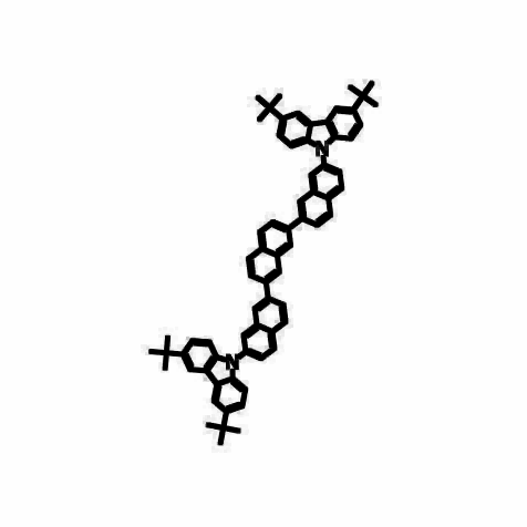 CC(C)(C)c1ccc2c(c1)c1cc(C(C)(C)C)ccc1n2-c1ccc2ccc(-c3ccc4ccc(-c5ccc6ccc(-n7c8ccc(C(C)(C)C)cc8c8cc(C(C)(C)C)ccc87)cc6c5)cc4c3)cc2c1